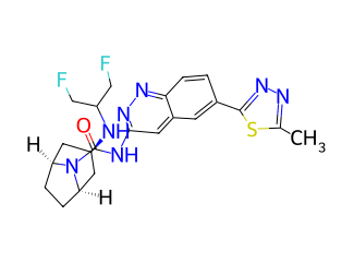 Cc1nnc(-c2ccc3nnc(NC(=O)N4[C@@H]5CC[C@H]4C[C@@H](NC(CF)CF)C5)cc3c2)s1